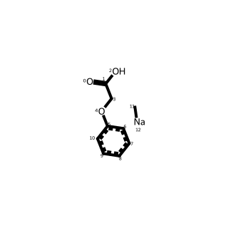 O=C(O)COc1ccccc1.[CH3][Na]